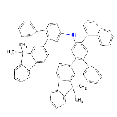 CC1(C)c2ccccc2-c2ccc(-c3cc(Nc4cc(-c5ccc6c(c5)C(C)(C)c5ccccc5-6)c(-c5ccccc5)cc4-c4cccc5ccccc45)ccc3-c3ccccc3)cc21